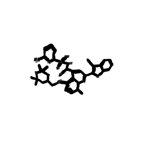 Cc1c(-c2cc(C(=O)NS(=O)(=O)c3cccc(N)n3)c3c(OCC4CC(C)(C)OC(C)(C)C4)ccc(C)c3n2)sc2ccccc12